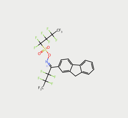 O=S(=O)(O/N=C(\c1ccc2c(c1)Cc1ccccc1-2)C(F)(F)C(F)(F)C(F)(F)F)C(F)(F)C(F)(F)C(F)(F)C(F)(F)F